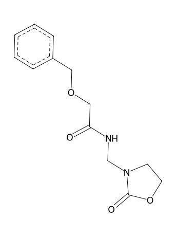 O=C(COCc1ccccc1)NCN1CCOC1=O